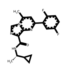 Cc1cc(-c2cc(F)ccc2F)nc2c(C(=O)N[C@@H](C)C3CC3)ncn12